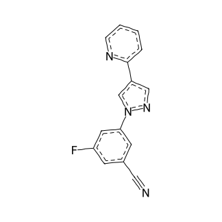 N#Cc1cc(F)cc(-n2cc(-c3ccccn3)cn2)c1